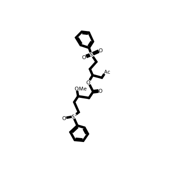 COC(CC[S+]([O-])c1ccccc1)CC(=O)OC(CCS(=O)(=O)c1ccccc1)CC(C)=O